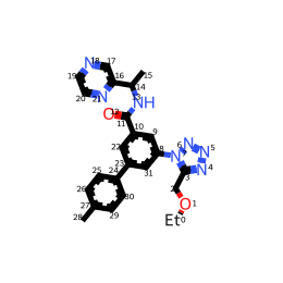 CCOCc1nnnn1-c1cc(C(=O)NC(C)c2cnccn2)cc(-c2ccc(C)cc2)c1